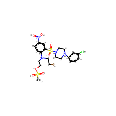 CS(=O)(=O)OCCN(CCBr)c1ccc([N+](=O)[O-])cc1S(=O)(=O)N1CCN(c2cccc(Cl)c2)CC1